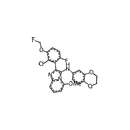 COc1cccc2nc(-c3c(F)ccc(OCF)c3Cl)c(Nc3ccc4c(c3)OCCO4)n12